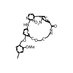 COc1cc(F)ccc1COc1ccc2cc1COCCCCNC(=O)c1ccc(c([N+](=O)[O-])c1)-c1ccnc(n1)N2